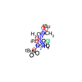 Cc1cc(CO[Si](c2ccccc2)(c2ccccc2)C(C)(C)C)cc(C(C)C)c1N1c2nc(-c3c(N)cccc3F)c(Cl)cc2C(N2C[C@@H](C)N(C(=O)OC(C)(C)C)C[C@@H]2C)=NS1(=O)=O